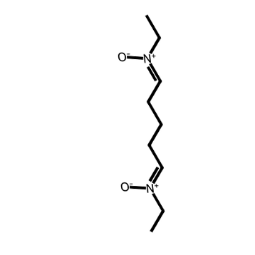 CC/[N+]([O-])=C/CCC/C=[N+](\[O-])CC